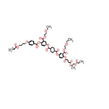 C=CC(=O)OCCCCOc1ccc(C(=O)Oc2ccc(OC(=O)C3CCC(C(=O)Oc4ccc(OC(=O)CCC(=O)OC(C)COC(=O)C=C)c(C(=O)OCCOCC)c4)CC3)cc2C(=O)OCCOCC)cc1